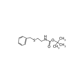 CC(C)(C)OC(=O)NCCSCc1ccccc1